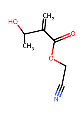 C=C(C(=O)OCC#N)C(C)O